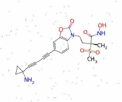 C[C@@](CCn1c(=O)oc2cc(C#CC#CC3(N)CC3)ccc21)(C(=O)NO)S(C)(=O)=O